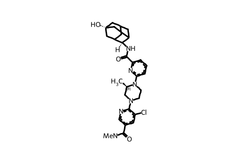 CNC(=O)c1cnc(N2CCN(c3cccc(C(=O)N[C@H]4C5CC6CC4C[C@](O)(C6)C5)n3)[C@H](C)C2)c(Cl)c1